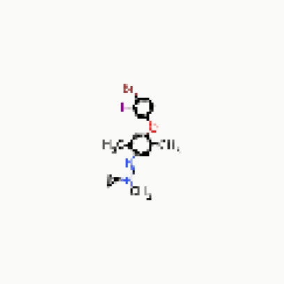 Cc1cc(Oc2ccc(Br)c(I)c2)c(C)cc1N=CN(C)C1CC1